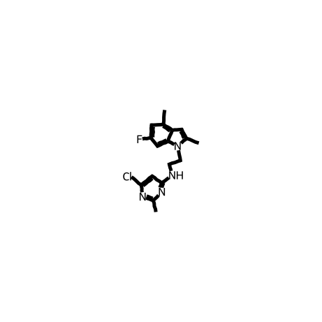 Cc1nc(Cl)cc(NCCn2c(C)cc3c(C)cc(F)cc32)n1